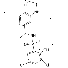 CC(NS(=O)(=O)c1cc(Cl)cc(Cl)c1O)c1ccc2c(c1)NCCO2